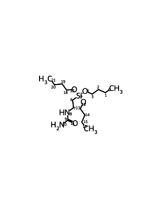 CCCCO[Si](CCNC(N)=O)(OCCCC)OCCCC